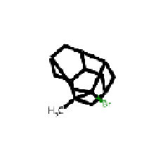 CC12CC3CC4C5CC(CC41)CC2(Br)C5C3